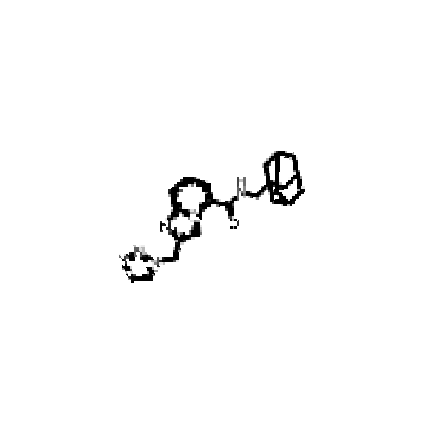 O=C(NCC12CC3CC(CC(C3)C1)C2)c1cccc2nc(Cn3cnnn3)cn12